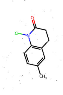 Cc1ccc2c(c1)CCC(=O)N2Cl